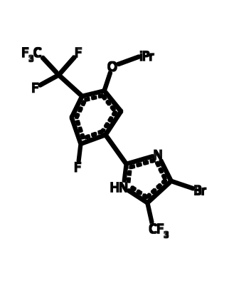 CC(C)Oc1cc(-c2nc(Br)c(C(F)(F)F)[nH]2)c(F)cc1C(F)(F)C(F)(F)F